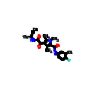 C#CC(NC(=O)C(=O)c1c(C)c(C(=O)Nc2ccc(F)c(C#N)c2)n(C)c1C)C(C)(C)C